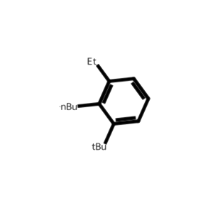 CCC[CH]c1c(CC)cccc1C(C)(C)C